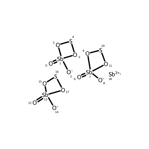 [O]=[Sb]1([O-])[O]S[O]1.[O]=[Sb]1([O-])[O]S[O]1.[O]=[Sb]1([O-])[O]S[O]1.[Sb+3]